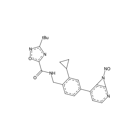 CC(C)(C)c1noc(C(=O)NCc2ccc(-c3ccnc4c3N4N=O)cc2C2CC2)n1